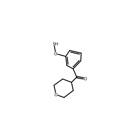 O=C(c1cccc(OS)c1)C1CCOCC1